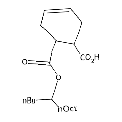 CCCCCCCCC(CCCC)OC(=O)C1CC=CCC1C(=O)O